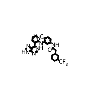 Cc1ccc(NC(=O)CC2CCCC(C(F)(F)F)C2)cc1Nc1ncccc1-c1ncnc2[nH]cnc12